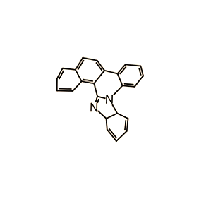 C1=CC2N=C3c4c(ccc5ccccc45)-c4ccccc4N3C2C=C1